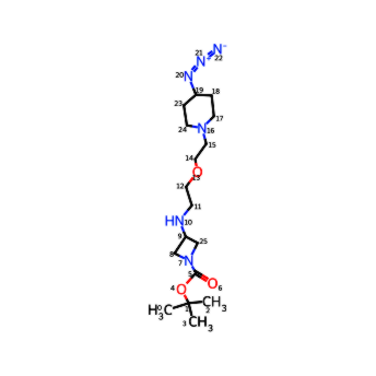 CC(C)(C)OC(=O)N1CC(NCCOCCN2CCC(N=[N+]=[N-])CC2)C1